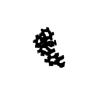 OC1(c2ccccc2)c2ccccc2-c2ccc(-c3ccc(Cl)cc3)cc21